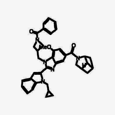 COc1cc(C(=O)N2CC3CC4CC2[C@H]43)cc2nc(-c3cc4ccccc4n3CC3CC3)n(CC3CN(C(=O)c4ccccc4)C3)c12